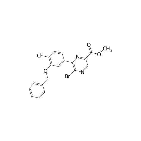 COC(=O)c1cnc(Br)c(-c2ccc(Cl)c(OCc3ccccc3)c2)n1